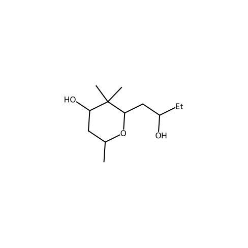 CCC(O)CC1OC(C)CC(O)C1(C)C